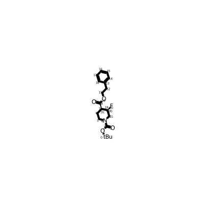 CC(C)(C)OC(=O)N1CC[C@@H](C(=O)OCCc2ccccc2)[C@@H](F)C1